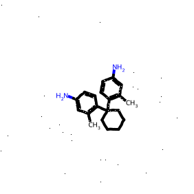 Cc1cc(N)ccc1C1(c2ccc(N)cc2C)CCCCC1